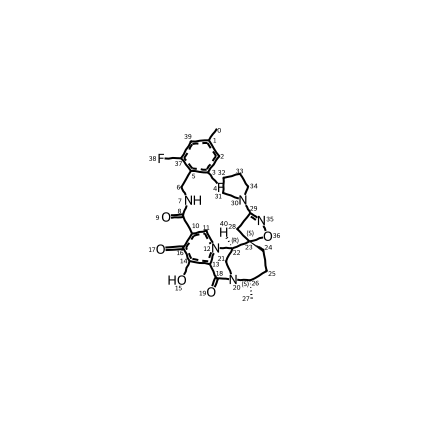 Cc1cc(F)c(CNC(=O)c2cn3c(c(O)c2=O)C(=O)N2C[C@@H]3[C@]3(CC[C@@H]2C)CC(N2CCCC2)=NO3)c(F)c1